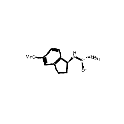 COc1ccc2c(c1)CC[C@@H]2N[S@@+]([O-])C(C)(C)C